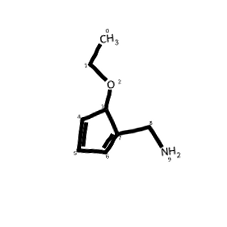 CCOC1C=CC=C1CN